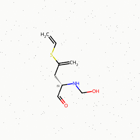 C=CSC(=C)C[C@@H](C=O)NCO